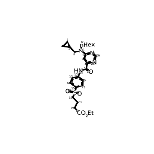 CCCCCCN(CC1CC1)c1cc(C(=O)Nc2ccc(S(=O)(=O)CCCC(=O)OCC)cc2)ncn1